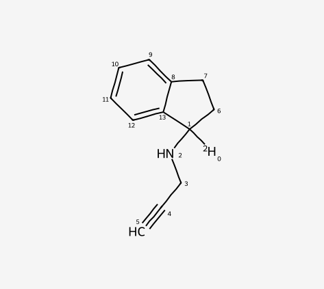 [2H]C1(NCC#C)CCc2ccccc21